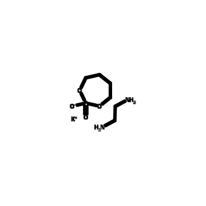 NCCN.O=P1([O-])OCCCCO1.[K+]